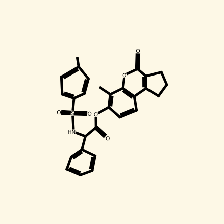 Cc1ccc(S(=O)(=O)NC(C(=O)Oc2ccc3c4c(c(=O)oc3c2C)CCC4)c2ccccc2)cc1